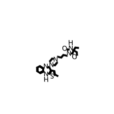 CCC1(CC)NC(=O)N(CCCCN2CCN(C3=Nc4ccccc4Nc4sc(C)cc43)CC2)C1=O